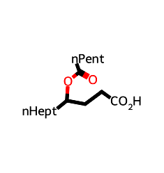 CCCCCCCC(CCC(=O)O)OC(=O)CCCCC